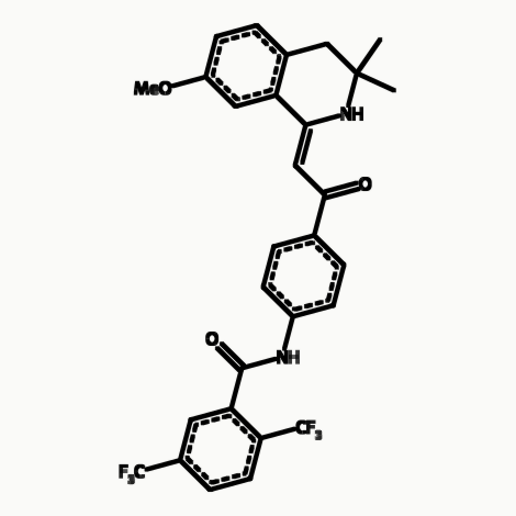 COc1ccc2c(c1)/C(=C/C(=O)c1ccc(NC(=O)c3cc(C(F)(F)F)ccc3C(F)(F)F)cc1)NC(C)(C)C2